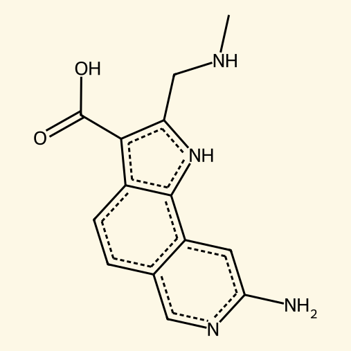 CNCc1[nH]c2c(ccc3cnc(N)cc32)c1C(=O)O